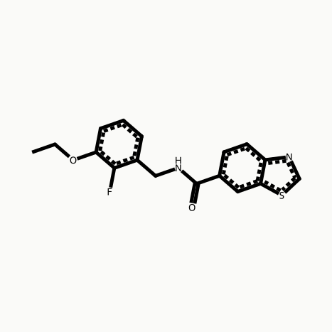 CCOc1cccc(CNC(=O)c2ccc3ncsc3c2)c1F